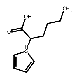 CCCCC(C(=O)O)[SH]1C=CC=C1